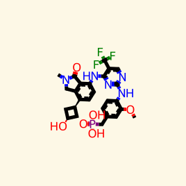 COc1cc(CP(=O)(O)O)ccc1Nc1ncc(C(F)(F)F)c(Nc2ccc([C@H]3C[C@H](O)C3)c3c2C(=O)N(C)C3)n1